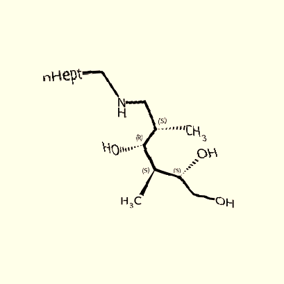 CCCCCCCCNC[C@H](C)[C@@H](O)[C@H](C)[C@H](O)CO